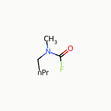 CCCCN(C)C(=O)F